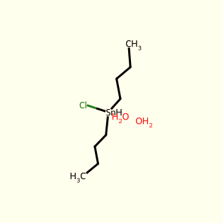 CCC[CH2][SnH]([Cl])[CH2]CCC.O.O